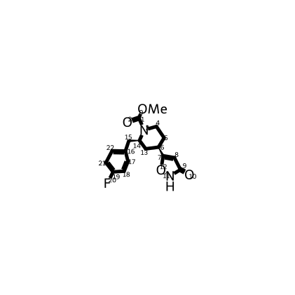 COC(=O)N1CC[C@@H](c2cc(=O)[nH]o2)C[C@H]1Cc1ccc(F)cc1